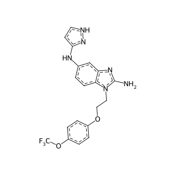 Nc1nc2cc(Nc3cc[nH]n3)ccc2n1CCOc1ccc(OC(F)(F)F)cc1